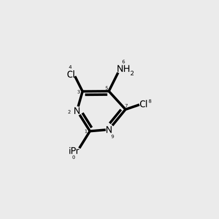 CC(C)c1nc(Cl)c(N)c(Cl)n1